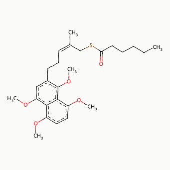 CCCCCC(=O)SCC(C)=CCCc1cc(OC)c2c(OC)ccc(OC)c2c1OC